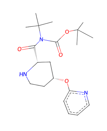 CC(C)(C)OC(=O)N(C(=O)[C@@H]1C[C@H](Oc2ccccn2)CCN1)C(C)(C)C